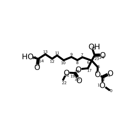 COC(=O)OCC(CCCCCCCC(=O)O)(COC(=O)OC)C(=O)O